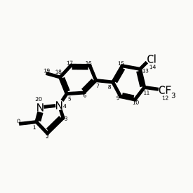 Cc1ccn(-c2cc(-c3ccc(C(F)(F)F)c(Cl)c3)ccc2C)n1